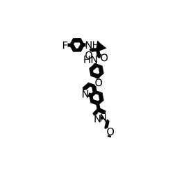 COCCn1cc(-c2ccc3c(Oc4ccc(NC(=O)C5(C(=O)Nc6ccc(F)cc6)CC5)cc4)ccnc3c2)cn1